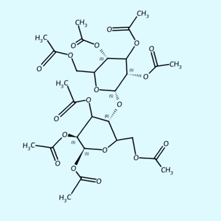 CC(=O)OCC1O[C@@H](OC(C)=O)[C@@H](OC(C)=O)C(OC(C)=O)[C@@H]1O[C@@H]1OC(COC(C)=O)[C@H](OC(C)=O)C(OC(C)=O)[C@@H]1OC(C)=O